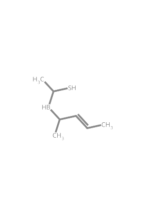 CC=CC(C)BC(C)S